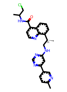 Cc1ccc(-c2cc(NC[C@@H](C)c3cccc4c(C(=O)NC(C)CCl)ccnc34)ncn2)cn1